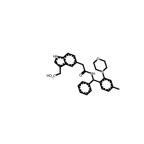 Cc1ccc(C(NC(=O)Cc2ccc3[nH]cc(CC(=O)O)c3c2)c2ccccc2)c(N2CCOCC2)c1